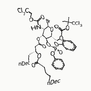 CCCCCCCCCCCCCC(=O)O[C@H](CCCCCCCCCCC)CC(=O)O[C@@H]1[C@H](NC(=O)OCC(Cl)(Cl)Cl)[C@@H](Br)O[C@H](COC(=O)OC(C)(C)C(Cl)(Cl)Cl)[C@H]1OP(=O)(Oc1ccccc1)Oc1ccccc1